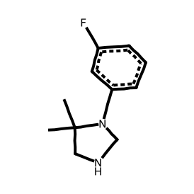 CC1(C)CNCN1c1cccc(F)c1